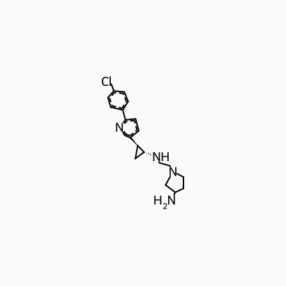 NC1CCN(CCN[C@@H]2C[C@H]2c2ccc(-c3ccc(Cl)cc3)nc2)C1